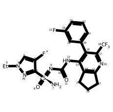 CCn1cc(F)c([S@@](N)(=O)=NC(=O)Nc2c3c(nc(C(F)(F)F)c2-c2cccc(F)c2)CCC3)n1